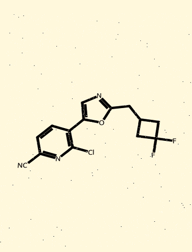 N#Cc1ccc(-c2cnc(CC3CC(F)(F)C3)o2)c(Cl)n1